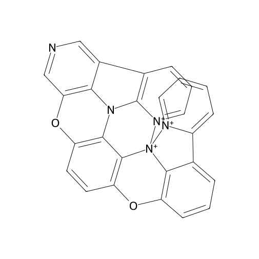 c1cc2c3c(c1)-c1cccc[n+]1[N+]31c3c(ccc4c3-n3c5c(cncc5c5ccc[n+]1c53)O4)O2